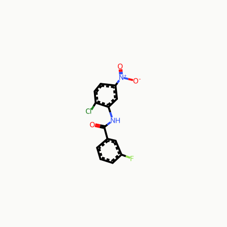 O=C(Nc1cc([N+](=O)[O-])ccc1Cl)c1cccc(F)c1